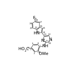 COc1cc(C(=O)O)ccc1Nc1cncc(-c2cc3cc(F)ccc3[nH]2)n1